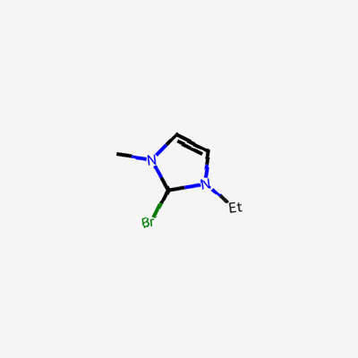 CCN1C=CN(C)C1Br